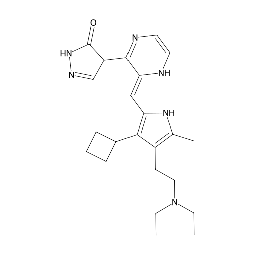 CCN(CC)CCc1c(C)[nH]c(C=C2NC=CN=C2C2C=NNC2=O)c1C1CCC1